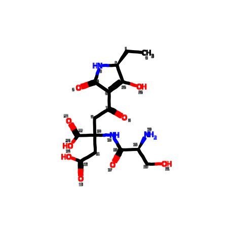 CC[C@@H]1NC(=O)C(C(=O)CC(CC(=O)O)(NC(=O)[C@@H](N)CO)C(=O)O)=C1O